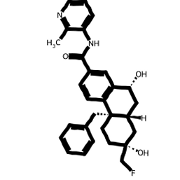 Cc1ncccc1NC(=O)c1ccc2c(c1)[C@H](O)C[C@@H]1C[C@@](O)(CF)CC[C@@]21Cc1ccccc1